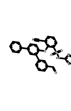 N#Cc1cccc(S(=O)(=O)Nc2ncns2)c1Oc1ccc(-c2ccccc2)cc1-c1cccc(C=O)c1